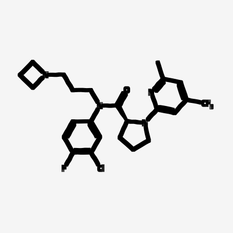 Cc1cc(C(F)(F)F)cc(N2CCC[C@H]2C(=O)N(CCCN2CCC2)c2ccc(F)c(Cl)c2)n1